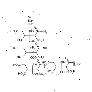 CCCCC(C(=O)[O-])(C(CC(=O)O)C(=O)O)C(C(N)=O)S(=O)(=O)O.CCCCC(C(=O)[O-])(C(CC(=O)O)C(=O)O)C(C(N)=O)S(=O)(=O)O.CCCCC(C(=O)[O-])(C(CC(=O)O)C(=O)O)C(C(N)=O)S(=O)(=O)O.CCCCC(C(=O)[O-])(C(CC(=O)O)C(=O)O)C(C(N)=O)S(=O)(=O)O.[Na+].[Na+].[Na+].[Na+]